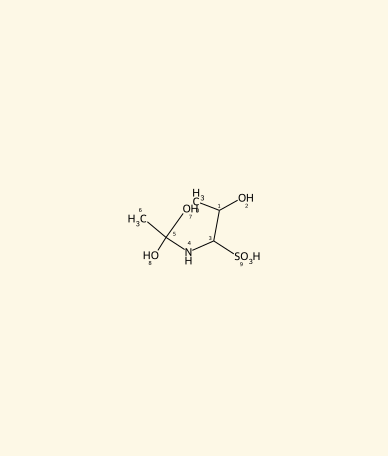 CC(O)C(NC(C)(O)O)S(=O)(=O)O